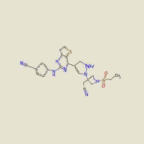 CCS(=O)(=O)N1CC(CC#N)(N2C=C(c3nc(Nc4ccc(C#N)cc4)nc4ccsc34)CN2)C1